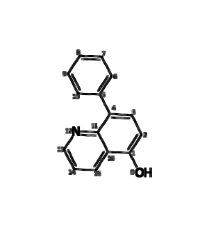 Oc1ccc(-c2ccccc2)c2ncccc12